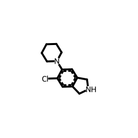 Clc1cc2c(cc1N1CCCCC1)CNC2